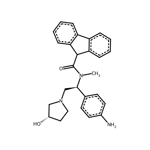 CN(C(=O)C1c2ccccc2-c2ccccc21)[C@H](CN1CC[C@H](O)C1)c1ccc(N)cc1